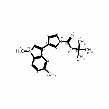 Cc1ccc2c(c1)c(-c1ccn(C(=O)OC(C)(C)C)c1)cn2C